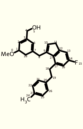 COC1C=C(CO)C=C(CC2=CCc3cc(F)cc(CCc4ccc(C)cc4)c32)C1